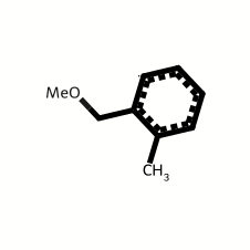 COCc1[c]cccc1C